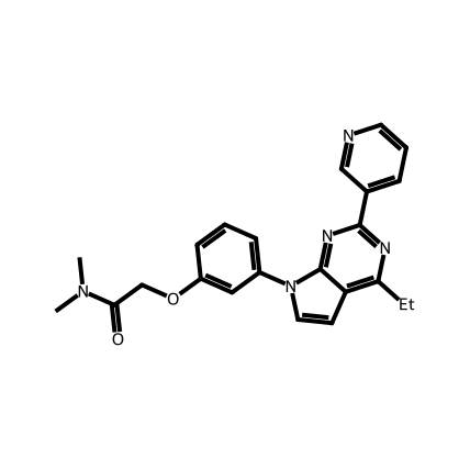 CCc1nc(-c2cccnc2)nc2c1ccn2-c1cccc(OCC(=O)N(C)C)c1